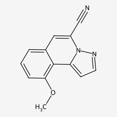 COc1cccc2cc(C#N)n3nccc3c12